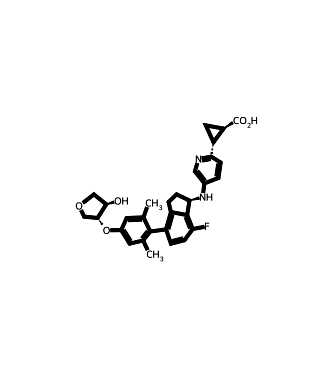 Cc1cc(O[C@@H]2COC[C@H]2O)cc(C)c1-c1ccc(F)c2c1CC[C@H]2Nc1ccc([C@@H]2C[C@H]2C(=O)O)nc1